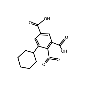 O=C(O)c1cc(C(=O)O)c(I(=O)=O)c(C2CCCCC2)c1